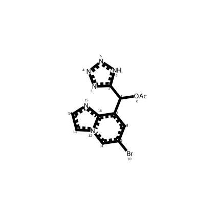 CC(=O)OC(c1nnn[nH]1)c1cc(Br)cn2ccnc12